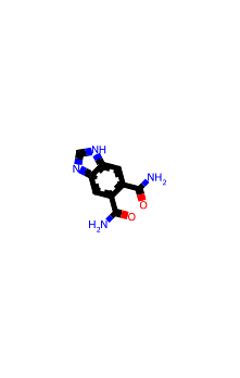 NC(=O)c1cc2nc[nH]c2cc1C(N)=O